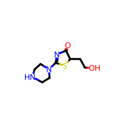 O=C1N=C(N2CCNCC2)SC1CCO